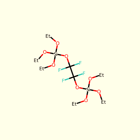 CCO[Si](OCC)(OCC)OC(F)(F)C(F)(F)O[Si](OCC)(OCC)OCC